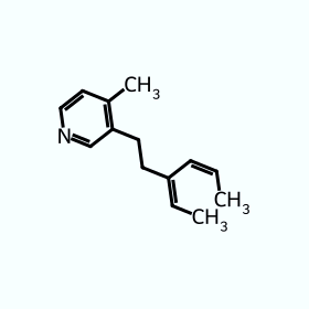 C/C=C\C(=C/C)CCc1cnccc1C